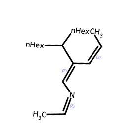 C\C=C/C(=C\N=C/C)C(CCCCCC)CCCCCC